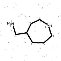 NCC1CCCNCC1